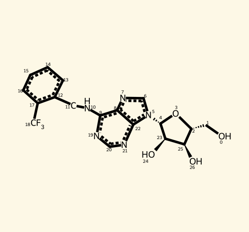 OC[C@H]1O[C@@H](n2cnc3c(NCc4ccccc4C(F)(F)F)ncnc32)[C@H](O)[C@@H]1O